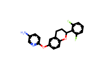 Nc1ccc(Oc2ccc3c(c2)CCC(c2c(F)cccc2F)O3)nc1